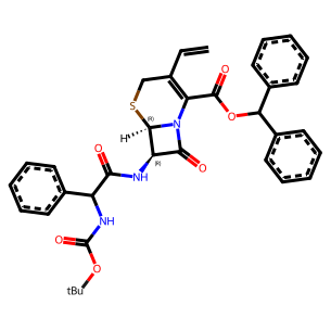 C=CC1=C(C(=O)OC(c2ccccc2)c2ccccc2)N2C(=O)[C@@H](NC(=O)C(NC(=O)OC(C)(C)C)c3ccccc3)[C@H]2SC1